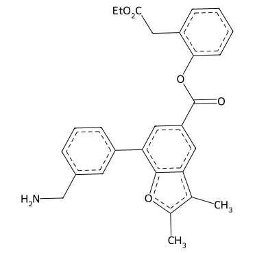 CCOC(=O)Cc1ccccc1OC(=O)c1cc(-c2cccc(CN)c2)c2oc(C)c(C)c2c1